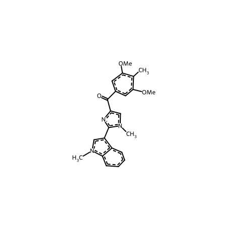 COc1cc(C(=O)c2cn(C)c(-c3cn(C)c4ccccc34)n2)cc(OC)c1C